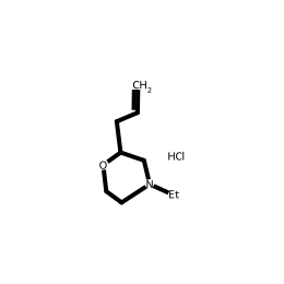 C=CCC1CN(CC)CCO1.Cl